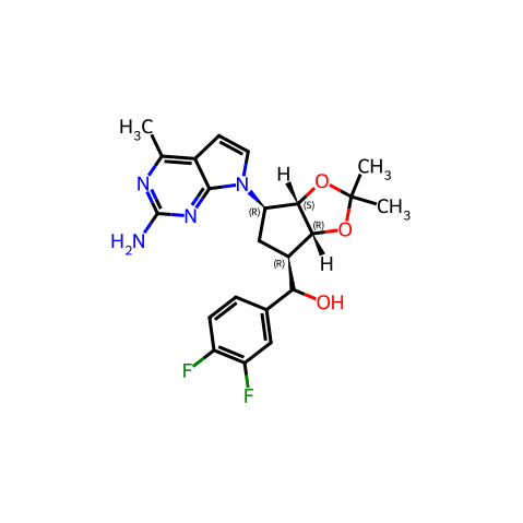 Cc1nc(N)nc2c1ccn2[C@@H]1C[C@H](C(O)c2ccc(F)c(F)c2)[C@H]2OC(C)(C)O[C@H]21